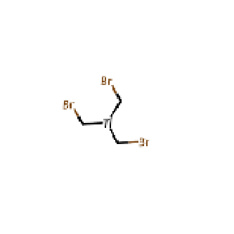 Br[CH2][Tl]([CH2]Br)[CH2]Br